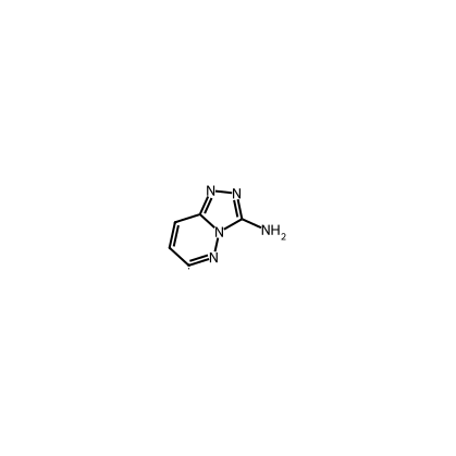 Nc1nnc2cc[c]nn12